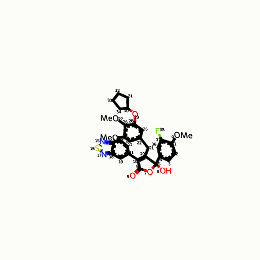 COc1ccc(C2(O)OC(=O)C(c3ccc4nsnc4c3)=C2Cc2cc(OC)c(OC)c(OC3CCCC3)c2)cc1F